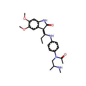 CC/C(Nc1ccc(N(CC(C)NC)C(C)=O)cc1)=C1/C(=O)Nc2cc(OC)c(OC)cc21